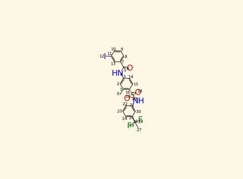 Cc1cc(NC(=O)c2cccc(I)c2)ccc1S(=O)(=O)Nc1cccc(C(C)(F)F)c1